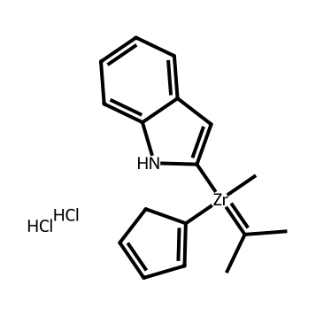 C[C](C)=[Zr]([CH3])([C]1=CC=CC1)[c]1cc2ccccc2[nH]1.Cl.Cl